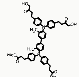 COC(=O)CCc1ccc(N(c2ccc(CCC(=O)OC)cc2)c2ccc(-c3ccc(N(c4ccc(CCC(=O)CO)cc4)c4ccc(CCC(=O)CO)cc4)c(C)c3)cc2C)cc1